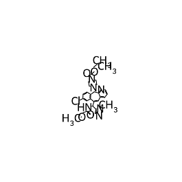 COCC(=O)NC(C1=Cc2cccnc2C(N2CCN(C(=O)OCC(C)C)CC2)c2ccc(Cl)cc21)c1cncn1C